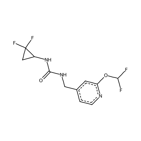 O=C(NCc1ccnc(OC(F)F)c1)NC1CC1(F)F